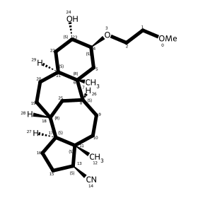 COCCO[C@H]1C[C@]2(C)[C@H]3CC[C@]4(C)[C@@H](C#N)CC[C@H]4[C@H](CC[C@H]2C[C@@H]1O)C3